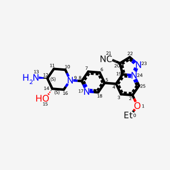 CCOc1cc(-c2ccc(N3CC[C@H](N)[C@@H](O)C3)nc2)c2c(C#N)cnn2c1